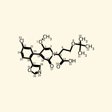 COc1cn(C(CCOC(C)(C)C)C(=O)O)c(=O)cc1-c1cc(Cl)ccc1-c1cnco1